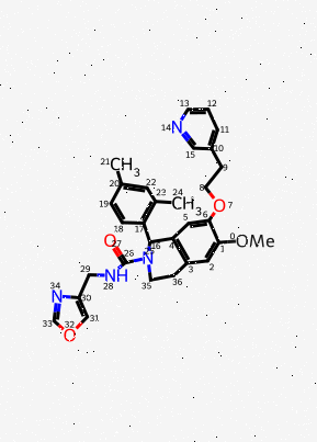 COc1cc2c(cc1OCCc1cccnc1)C(c1ccc(C)cc1C)N(C(=O)NCc1cocn1)CC2